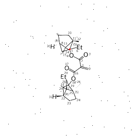 C=C(C(=O)OC1(CC)C[C@H]2CC[C@@]1(C)C2(C)C)C(=O)OC1(CC)C[C@H]2CC[C@@]1(C)C2(C)C